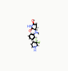 CN(c1cccc([C@H]2CCNCC2(F)F)c1)[C@@H]1CCC(=O)NC1=O